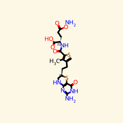 Cc1c(CC[C@@H]2CNc3nc(N)[nH]c(=O)c3S2)csc1C(=O)N[C@@H](CCC(=O)ON)C(=O)O